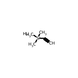 C#C[Si](C)(C)C.[LiH]